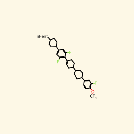 CCCCCC1CCC(c2cc(F)c(C3=CCC(C4CCC(c5ccc(OC(F)(F)F)c(F)c5)CC4)CC3)c(F)c2)CC1